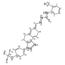 Cc1ccccc1NC(=S)/N=N/C=C1/C=C2CCc3c(nnn3-c3ccc(OC(F)(F)F)cc3)C2=CC1